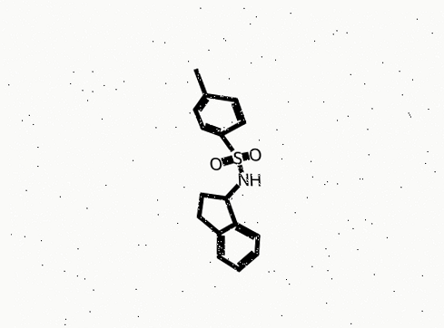 Cc1ccc(S(=O)(=O)N[C]2CCc3ccccc32)cc1